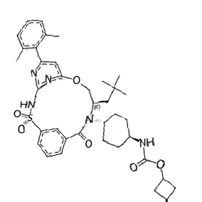 Cc1cccc(C)c1-c1cc2nc(n1)NS(=O)(=O)c1cccc(c1)C(=O)N([C@H]1CC[C@H](NC(=O)OC3CCC3)CC1)[C@H](CC(C)(C)C)CO2